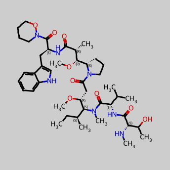 CC[C@H](C)[C@@H]([C@@H](CC(=O)N1CCC[C@H]1[C@H](OC)[C@@H](C)C(=O)N[C@@H](Cc1c[nH]c2ccccc12)C(=O)N1CCCCO1)OC)N(C)C(=O)[C@@H](NC(=O)[C@@H](NC)C(C)O)C(C)C